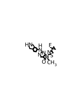 CCn1c(=O)c2cnc(Nc3ccc4c(c3)CNCC4)nc2n1-c1nc(C2(CF)CC2)cs1